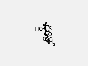 CC1(C)CSC2OC(S(N)(=O)=O)=CC2=C1O